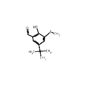 CSc1cc(C(C)(C)C)cc(C=O)c1O